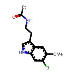 CCC(=O)NCCc1c[nH]c2cc(Cl)c(OC)cc12